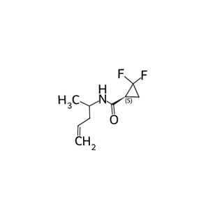 C=CCC(C)NC(=O)[C@@H]1CC1(F)F